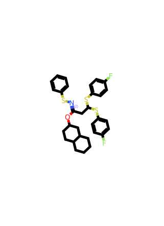 Fc1ccc(SC(C/C(=N/Sc2ccccc2)OC2CCC3CCCCC3C2)Sc2ccc(F)cc2)cc1